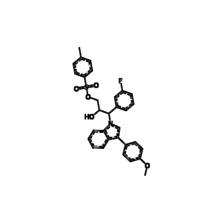 COc1ccc(-c2cn(C(c3cccc(F)c3)C(O)COS(=O)(=O)c3ccc(C)cc3)c3ccccc23)cc1